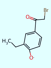 CCc1cc(C(=O)CBr)ccc1[O]